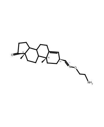 C[C@]12CC[C@H](/C=N/OCCN)C=C1CCC1C2CC[C@]2(C)C(=O)CCC12